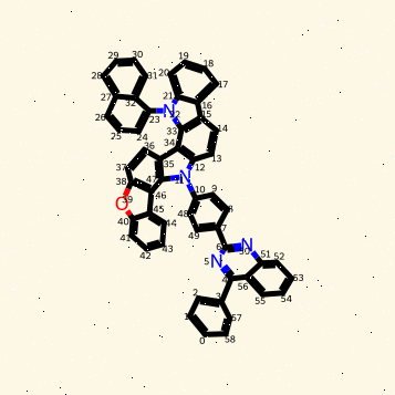 c1ccc(-c2nc(-c3ccc(-n4c5ccc6c7ccccc7n(-c7cccc8ccccc78)c6c5c5ccc6oc7ccccc7c6c54)cc3)nc3ccccc23)cc1